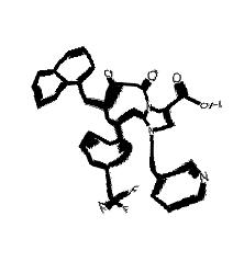 O=C(O)C1CN(Cc2cccnc2)c2c(-c3cccc(C(F)(F)F)c3)c(Cc3cccc4ccccc34)c(Cl)c(=O)n21